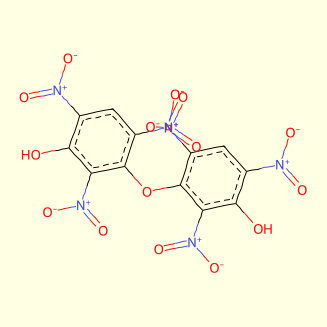 O=[N+]([O-])c1cc([N+](=O)[O-])c(Oc2c([N+](=O)[O-])cc([N+](=O)[O-])c(O)c2[N+](=O)[O-])c([N+](=O)[O-])c1O